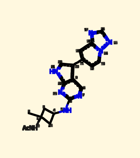 CC(=O)NC1(C)CC(Nc2ncc3c(-c4ccn5ncnc5c4)c[nH]c3n2)C1